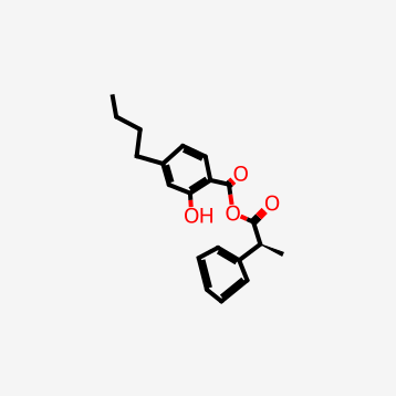 CCCCc1ccc(C(=O)OC(=O)[C@@H](C)c2ccccc2)c(O)c1